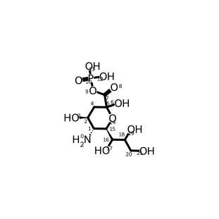 N[C@@H]1[C@@H](O)CC(O)(C(=O)OP(=O)(O)O)O[C@H]1C(O)C(O)CO